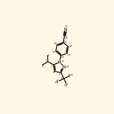 CC(C)c1cc(C(F)(F)F)nn1-c1ccc(C#N)cc1